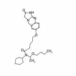 CCCCOC(C)N(C(=O)CCCCOc1ccc2c(c1)CN1CC(=O)NC1=N2)C1CCCCC1